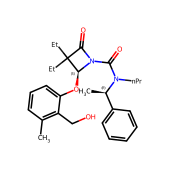 CCCN(C(=O)N1C(=O)C(CC)(CC)[C@@H]1Oc1cccc(C)c1CO)[C@H](C)c1ccccc1